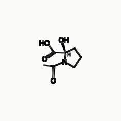 CC(=O)N1CCC[C@@]1(O)C(=O)O